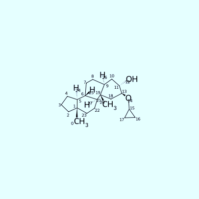 C[C@@]12CCC[C@H]1[C@@H]1CC[C@H]3C[C@H](O)[C@@H](OC4CC4)C[C@]3(C)[C@H]1CC2